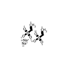 C=CS(=O)(=O)[O-].C=CS(=O)(=O)[O-].[Na+].[Na+]